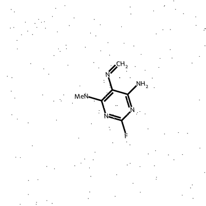 C=Nc1c(N)nc(F)nc1NC